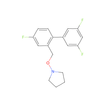 Fc1cc(F)cc(-c2ccc(F)cc2CON2CCCC2)c1